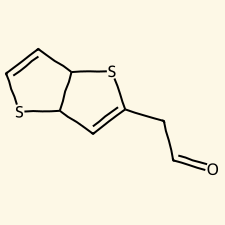 O=CCC1=CC2SC=CC2S1